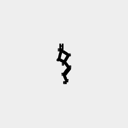 FC=CC1CNC1